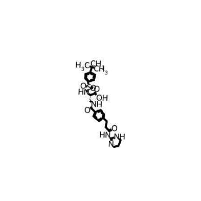 CC(C)(C)c1ccc(S(=O)(=O)N[C@@H](CNC(=O)c2ccc(CCC(=O)NC3=NCCCN3)cc2)C(=O)O)cc1